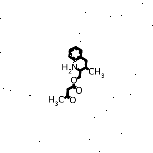 CC(=O)CC(=O)OCC(N)C(C)Cc1ccccc1